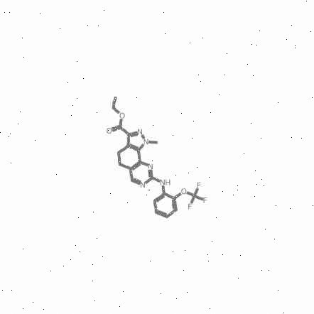 CCOC(=O)c1nn(C)c2c1CCc1cnc(Nc3ccccc3OC(F)(F)F)nc1-2